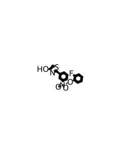 O=[N+]([O-])c1cc(-c2nc(O)cs2)ccc1Oc1ccccc1F